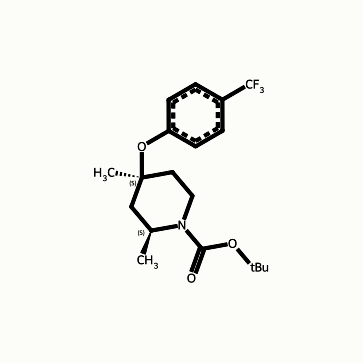 C[C@H]1C[C@@](C)(Oc2ccc(C(F)(F)F)cc2)CCN1C(=O)OC(C)(C)C